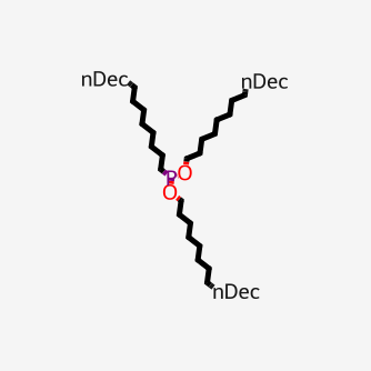 CCCCCCCCCCCCCCCCCCOP(CCCCCCCCCCCCCCCCCC)OCCCCCCCCCCCCCCCCCC